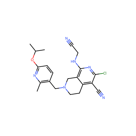 Cc1nc(OC(C)C)ccc1CN1CCc2c(C#N)c(Cl)nc(NCC#N)c2C1